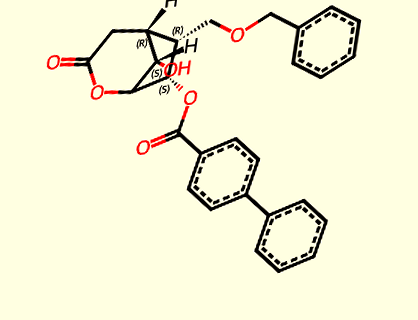 O=C1C[C@@H]2[C@H](COCc3ccccc3)[C@H](OC(=O)c3ccc(-c4ccccc4)cc3)C(O1)[C@H]2O